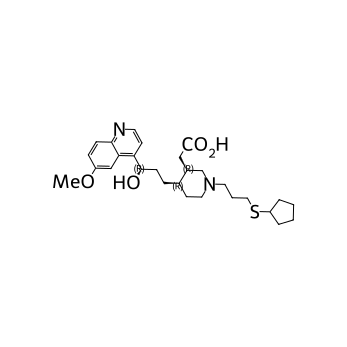 COc1ccc2nccc([C@H](O)CC[C@@H]3CCN(CCCSC4CCCC4)C[C@@H]3CC(=O)O)c2c1